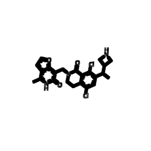 Cc1[nH]c(=O)c(CN2CCc3c(Cl)cc(C(C)C4CNC4)c(Cl)c3C2=O)c2occc12